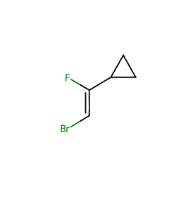 F/C(=C\Br)C1CC1